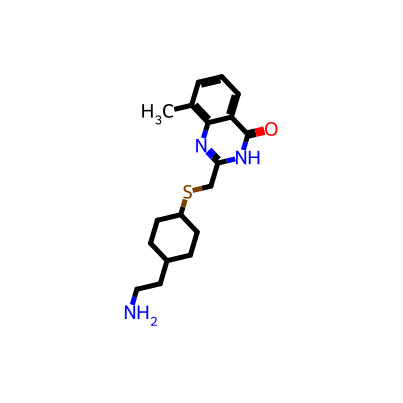 Cc1cccc2c(=O)[nH]c(CSC3CCC(CCN)CC3)nc12